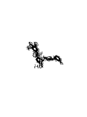 CC(O)CCC(CC(C)/C=N/OCC1C=C(F)C=CC1)Sc1cc(C(=O)Nc2cc(F)c(F)c(F)c2)ccc1Cl